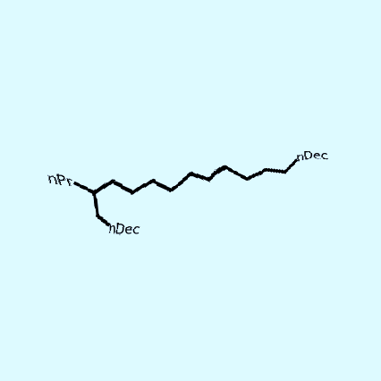 [CH2]CCC(CCCCCCCCCCC)CCCCCCCCCCCCCCCCCCCC